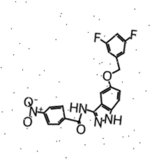 O=C(Nc1n[nH]c2ccc(OCc3cc(F)cc(F)c3)cc12)c1ccc([N+](=O)[O-])cc1